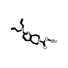 C=CCN(CC=C)c1ccc2c(n1)CCN(C(=O)OC(C)(C)C)CC2